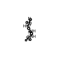 O=C(Nc1ccc(-c2nc3cc(NC(=O)[C@@H]4CCCN4C(=O)C4CCC4)ccc3[nH]2)cc1)[C@@H]1CCCN1C(=O)c1cccnc1